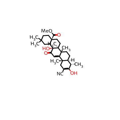 COC(=O)[C@]12CCC(C)(C)CC1[C@@]1(O)C(=O)C=C3[C@@]4(C)CC(C#N)=C(O)[C@@H](C)[C@@H]4CC[C@@]3(C)[C@]1(C)CC2